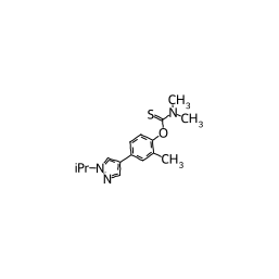 Cc1cc(-c2cnn(C(C)C)c2)ccc1OC(=S)N(C)C